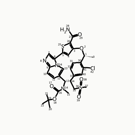 C[C@@H](Oc1cc(-c2cnc3ccc(CN(C)C(=O)OC(C)(C)C)cn23)sc1C(N)=O)c1ccc(CCS(C)(=O)=O)cc1Cl